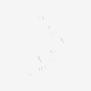 NC(=O)c1c(NC(=O)c2cnn3ccc(N4CCNCC4)nc23)cnn1-c1ccncc1